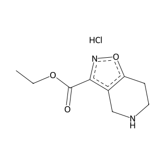 CCOC(=O)c1noc2c1CNCC2.Cl